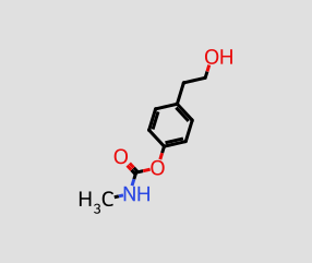 CNC(=O)Oc1ccc(CCO)cc1